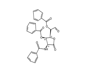 O=CC(OC(=O)c1ccccc1)[C@H]1OC(=O)[C@@H](NC(=O)c2ccccc2)[C@H]1OC(=O)c1ccccc1